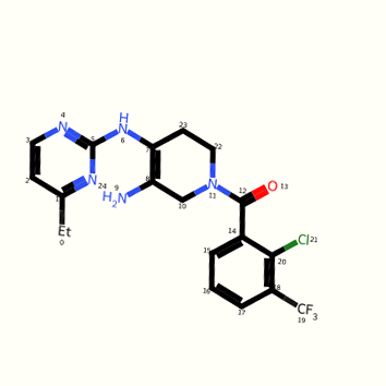 CCc1ccnc(NC2=C(N)CN(C(=O)c3cccc(C(F)(F)F)c3Cl)CC2)n1